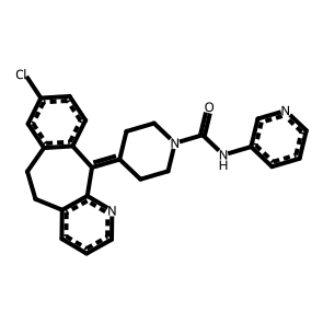 O=C(Nc1cccnc1)N1CCC(=C2c3ccc(Cl)cc3CCc3cccnc32)CC1